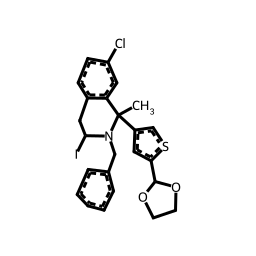 CC1(c2csc(C3OCCO3)c2)c2cc(Cl)ccc2CC(I)N1Cc1ccccc1